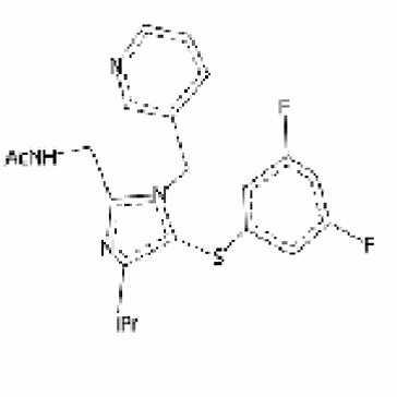 CC(=O)NCc1nc(C(C)C)c(Sc2cc(F)cc(F)c2)n1Cc1cccnc1